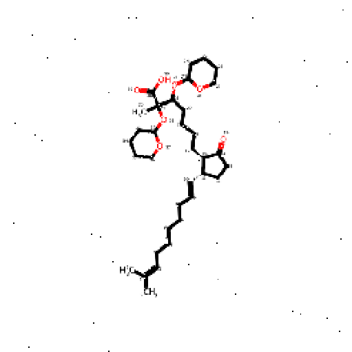 CC(C)=CCCCCC/C=C/[C@H]1CCC(=O)[C@@H]1CCCCC(OC1CCCCO1)C(C)(OC1CCCCO1)C(=O)O